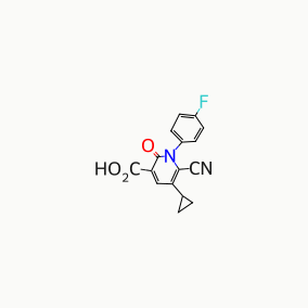 N#Cc1c(C2CC2)cc(C(=O)O)c(=O)n1-c1ccc(F)cc1